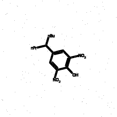 CCCCC(CCC)c1cc([N+](=O)[O-])c(O)c([N+](=O)[O-])c1